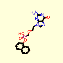 NC1=NC(=O)C2N=CN(CCOCP(=O)(O)Oc3cccc4ccccc34)C2=N1